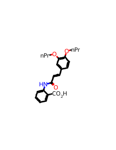 CCCOc1ccc(C=CC(=O)Nc2ccccc2C(=O)O)cc1OCCC